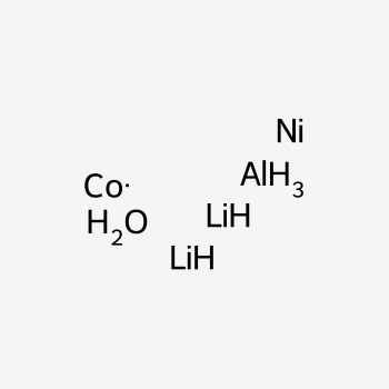 O.[AlH3].[Co].[LiH].[LiH].[Ni]